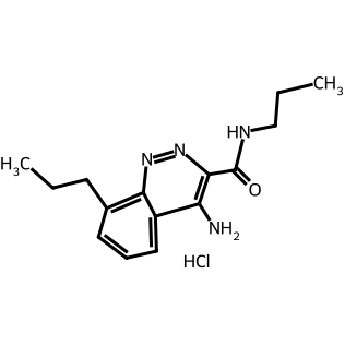 CCCNC(=O)c1nnc2c(CCC)cccc2c1N.Cl